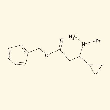 CC(C)N(C)C(CC(=O)OCc1ccccc1)C1CC1